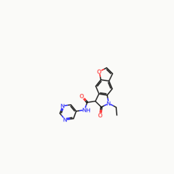 CCN1C(=O)C(C(=O)Nc2cncnc2)c2cc3occc3cc21